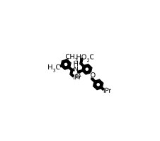 Cc1cc(C)cc(C(CC(C)C)NC(=O)c2cc(OCc3ccc(C(C)C)cc3)ccc2CCC(=O)O)c1